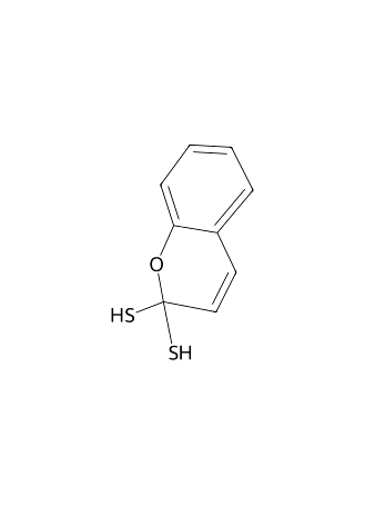 SC1(S)C=Cc2ccccc2O1